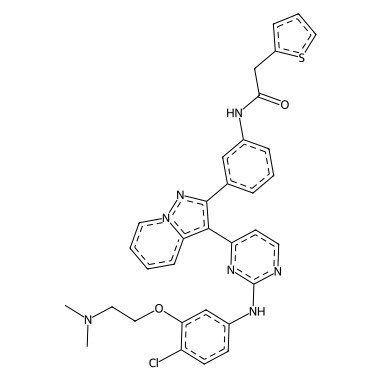 CN(C)CCOc1cc(Nc2nccc(-c3c(-c4cccc(NC(=O)Cc5cccs5)c4)nn4ccccc34)n2)ccc1Cl